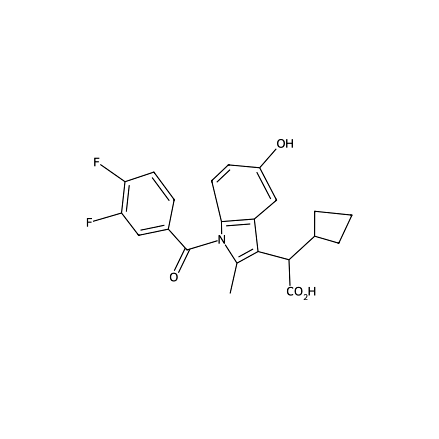 Cc1c(C(C(=O)O)C2CCC2)c2cc(O)ccc2n1C(=O)c1ccc(F)c(F)c1